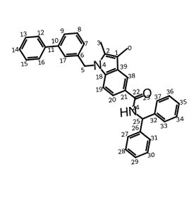 Cc1c(C)n(Cc2cccc(-c3ccccc3)c2)c2ccc(C(=O)NC(c3ccccc3)c3ccccc3)cc12